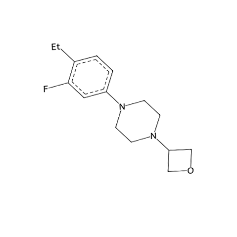 CCc1ccc(N2CCN(C3COC3)CC2)cc1F